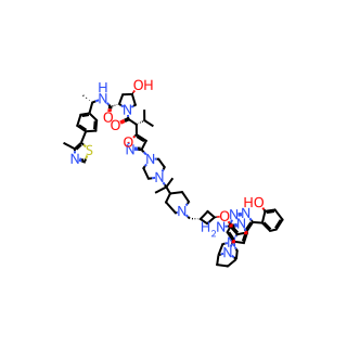 Cc1ncsc1-c1ccc([C@H](C)NC(=O)[C@@H]2C[C@@H](O)CN2C(=O)[C@@H](c2cc(N3CCN(C(C)(C)C4CCN(C[C@H]5C[C@H](Oc6cc(N7C8CCC7CN(c7cc(-c9ccccc9O)nnc7N)C8)ccn6)C5)CC4)CC3)no2)C(C)C)cc1